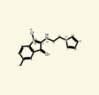 Cc1ccc2c(c1)C(=O)C(NCCn1cccc1)=[N+]2[O-]